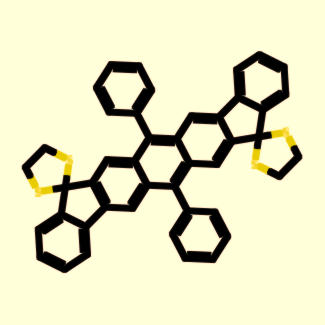 c1ccc(-c2c3cc4c(cc3c(-c3ccccc3)c3cc5c(cc23)C2(SCCS2)c2ccccc2-5)C2(SCCS2)c2ccccc2-4)cc1